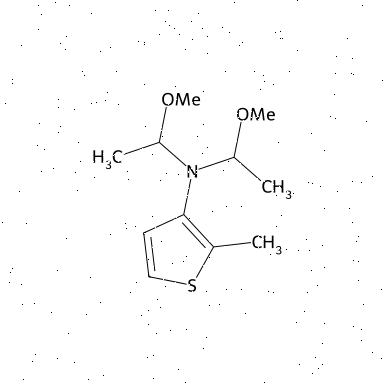 COC(C)N(c1ccsc1C)C(C)OC